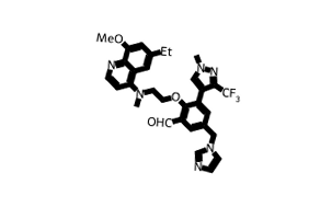 CCc1cc(OC)c2nccc(N(C)CCOc3c(C=O)cc(Cn4ccnc4)cc3-c3cn(C)nc3C(F)(F)F)c2c1